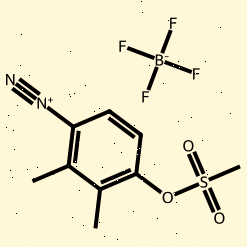 Cc1c([N+]#N)ccc(OS(C)(=O)=O)c1C.F[B-](F)(F)F